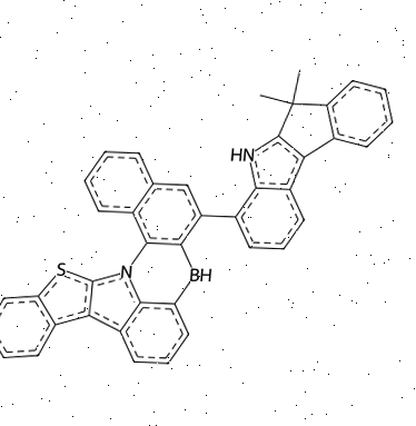 CC1(C)c2ccccc2-c2c1[nH]c1c(-c3cc4ccccc4c4c3Bc3cccc5c6c7ccccc7sc6n-4c35)cccc21